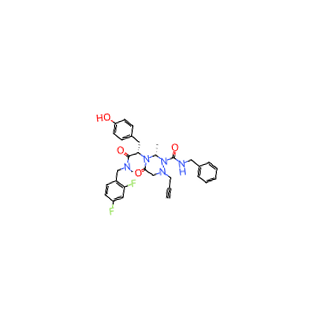 C#CCN1CC(=O)N([C@@H](Cc2ccc(O)cc2)C(=O)N(C)Cc2ccc(F)cc2F)[C@H](C)N1C(=O)NCc1ccccc1